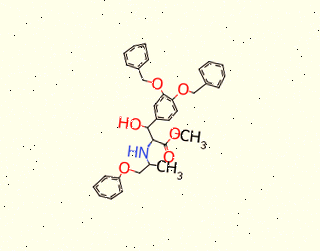 COC(=O)[C@@H](NC(C)COc1ccccc1)C(O)c1ccc(OCc2ccccc2)c(OCc2ccccc2)c1